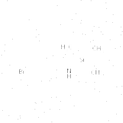 C[Si](C)(C)NCCBr